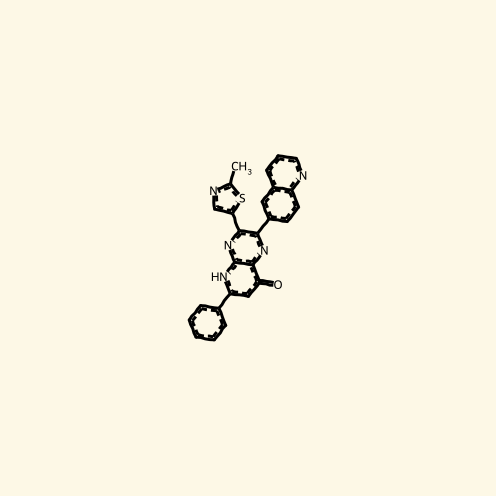 Cc1ncc(-c2nc3[nH]c(-c4ccccc4)cc(=O)c3nc2-c2ccc3ncccc3c2)s1